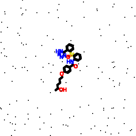 CC(O)CCCCOc1ccc(C(=O)Nc2ccccc2[S+]([O-])c2ccccc2-c2nnn[nH]2)cc1